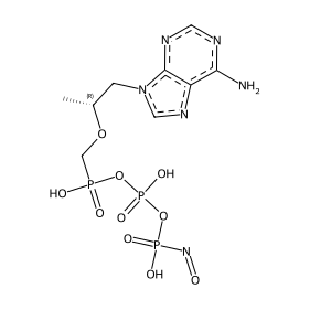 C[C@H](Cn1cnc2c(N)ncnc21)OCP(=O)(O)OP(=O)(O)OP(=O)(O)N=O